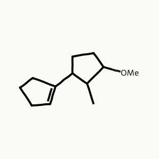 COC1CCC(C2=CCCC2)C1C